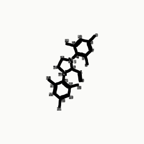 C=CC1N(c2c(C)cc(C)cc2C)CCN1c1c(C)cc(C)cc1C